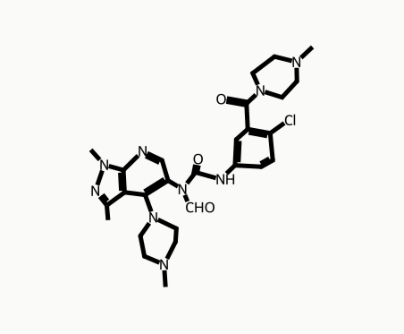 Cc1nn(C)c2ncc(N(C=O)C(=O)Nc3ccc(Cl)c(C(=O)N4CCN(C)CC4)c3)c(N3CCN(C)CC3)c12